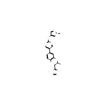 CC(Cc1nnc[nH]1)Oc1cc(-c2cnc(Nc3cnn(C)c3)nc2)ccc1C#N